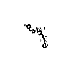 O=C(C=Cc1ccc(N(C(=O)O)[C@@H]2CCN(Cc3cccc(F)c3)C2)nc1)NOC1CCCCO1